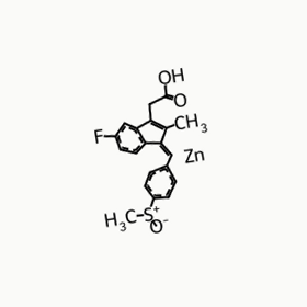 CC1=C(CC(=O)O)c2cc(F)ccc2/C1=C\c1ccc([S+](C)[O-])cc1.[Zn]